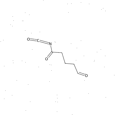 O=C=NC(=O)CCCC=O